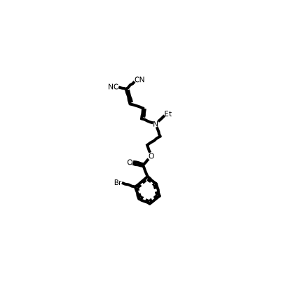 CCN(/C=C/C=C(C#N)C#N)CCOC(=O)c1ccccc1Br